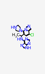 CC(Nc1ncnc2[nH]cnc12)c1cc(Cl)c2cncn2c1N1CCNCC1